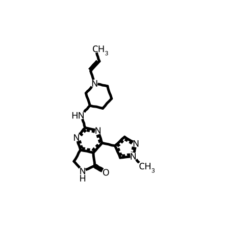 CC=CN1CCCC(Nc2nc3c(c(-c4cnn(C)c4)n2)C(=O)NC3)C1